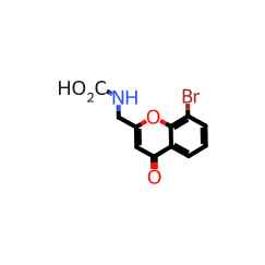 O=C(O)NCc1cc(=O)c2cccc(Br)c2o1